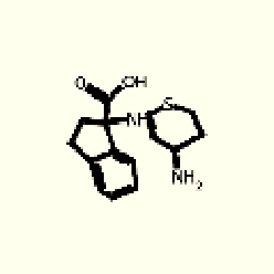 NC1(C(=O)O)CCc2ccccc21.NC1CCSCC1